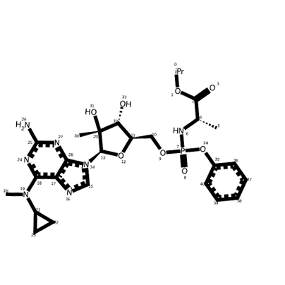 CC(C)OC(=O)[C@H](C)NP(=O)(OC[C@H]1O[C@@H](n2cnc3c(N(C)C4CC4)nc(N)nc32)[C@](C)(O)[C@@H]1O)Oc1ccccc1